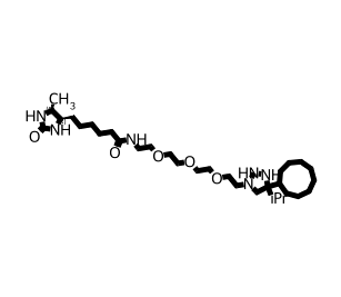 CC(C)C1(C2CCCCCCCC2)CN(CCOCCOCCOCCNC(=O)CCCCC[C@H]2NC(=O)N[C@H]2C)NN1